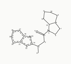 CC(CC(=O)N1CCC2CCCCC21)c1nc2ccccc2s1